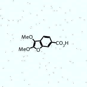 COc1oc2cc(C(=O)O)ccc2c1OC